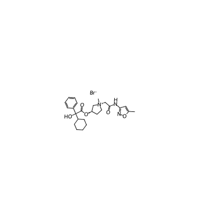 Cc1cc(NC(=O)C[N+]2(C)CC[C@@H](OC(=O)C(O)(c3ccccc3)C3CCCCC3)C2)no1.[Br-]